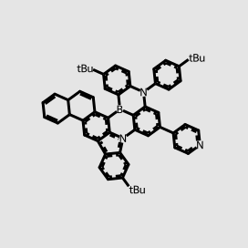 CC(C)(C)c1ccc(N2c3ccc(C(C)(C)C)cc3B3c4c2cc(-c2ccncc2)cc4-n2c4cc(C(C)(C)C)ccc4c4cc5c(c3c42)C=CC2C=CC=CC52)cc1